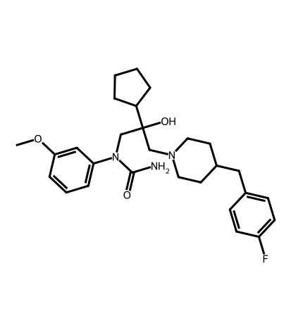 COc1cccc(N(CC(O)(CN2CCC(Cc3ccc(F)cc3)CC2)C2CCCC2)C(N)=O)c1